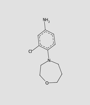 Nc1ccc(N2CCCOCC2)c(Cl)c1